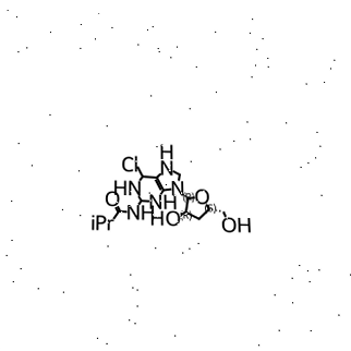 CC(C)C(=O)NC1NC2=C(NCN2[C@@H]2O[C@H](CO)C[C@H]2O)C(Cl)N1